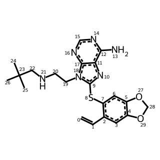 C=Cc1cc2c(cc1Sc1nc3c(N)ncnc3n1CCNCC(C)(C)C)OCO2